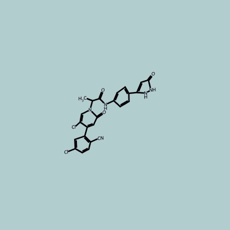 CC(C(=O)Nc1ccc(-c2cc(=O)[nH][nH]2)cc1)n1cc(Cl)c(-c2cc(Cl)ccc2C#N)cc1=O